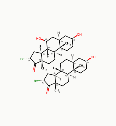 C[C@]12CC[C@H](O)C[C@@H]1CC[C@@H]1[C@@H]2CC[C@]2(C)C(=O)[C@H](Br)C[C@@H]12.C[C@]12CC[C@H](O)C[C@@H]1C[C@H](O)[C@@H]1[C@@H]2CC[C@]2(C)C(=O)[C@H](Br)C[C@@H]12